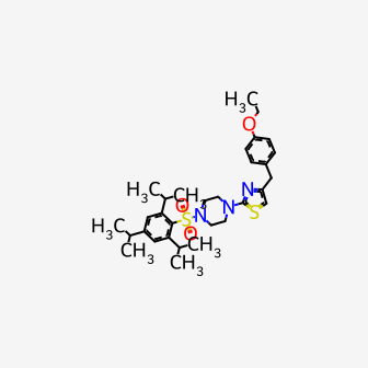 CCOc1ccc(Cc2csc(N3CCN(S(=O)(=O)c4c(C(C)C)cc(C(C)C)cc4C(C)C)CC3)n2)cc1